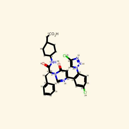 O=C(O)CC1CCC(NC(=O)[C@H](Cc2ccccc2)n2cnc(-c3cc(Cl)ccc3-n3cc(Cl)nn3)cc2=O)CC1